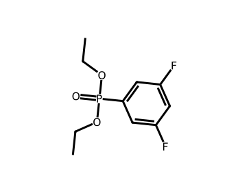 CCOP(=O)(OCC)c1cc(F)cc(F)c1